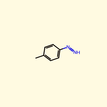 Cc1ccc(N=N)cc1